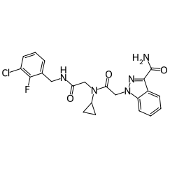 NC(=O)c1nn(CC(=O)N(CC(=O)NCc2cccc(Cl)c2F)C2CC2)c2ccccc12